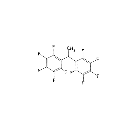 CC(c1c(F)c(F)c(F)c(F)c1F)c1c(F)c(F)c(F)c(F)c1F